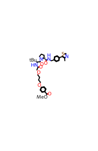 COC(=O)c1ccc(OCCCCOCC(=O)NC(C(=O)N2CCC[C@H]2C(=O)NCc2ccc(-c3scnc3C)cc2)C(C)(C)C)cc1